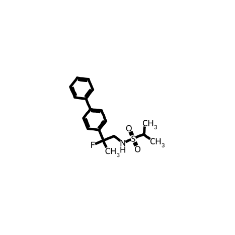 CC(C)S(=O)(=O)NCC(C)(F)c1ccc(-c2ccccc2)cc1